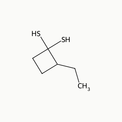 CCC1CCC1(S)S